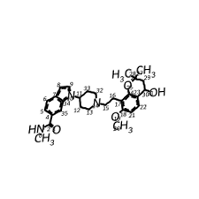 CNC(=O)c1ccc2ccn(C3CCN(CCc4c(OC)ccc5c4OC(C)(C)CC5O)CC3)c2c1